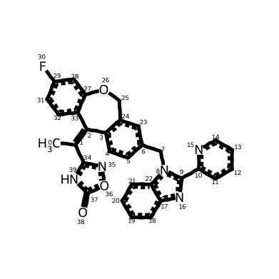 CC(=C1c2ccc(Cn3c(-c4ccccn4)nc4ccccc43)cc2COc2cc(F)ccc21)c1noc(=O)[nH]1